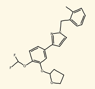 Cc1ccccc1Cn1ccc(-c2ccc(OC(F)F)c(OC3CCCO3)c2)n1